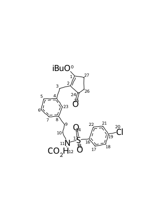 CC(C)COC1=C(Cc2cccc(CCN(C(=O)O)S(=O)(=O)c3ccc(Cl)cc3)c2)C(=O)CC1